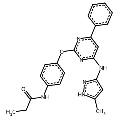 CCC(=O)Nc1ccc(Oc2nc(Nc3cc(C)[nH]n3)cc(-c3ccccc3)n2)cc1